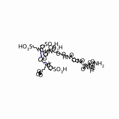 CC1(C)C(/C=C/C2=C(Oc3ccc(C[C@H](NC(=O)CCOCCOCCNC(=O)c4ccc5c(c4)CN(C(=O)C[C@@H]4C[C@@H](C(=O)N6CC(F)(F)C[C@H]6C(N)=O)NC4=O)C5)C(=O)O)cc3)C(=C/C=C3/N(CCCCS(=O)(=O)O)c4ccc(S(=O)(=O)O)cc4C3(C)C)/CCC2)=[N+](CCCCS(=O)(=O)[O-])c2ccc(S(=O)(=O)O)cc21